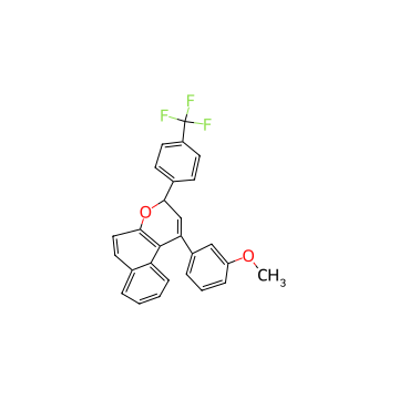 COc1cccc(C2=CC(c3ccc(C(F)(F)F)cc3)Oc3ccc4ccccc4c32)c1